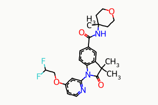 CC1(NC(=O)c2ccc3c(c2)C(C)(C)C(=O)N3c2cc(OCC(F)F)ccn2)CCOCC1